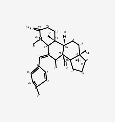 Cc1ccc(C=C2C(C)[C@@H]3[C@@H](CC[C@]4(C)CCC[C@@H]34)[C@@]3(C)CCC(=O)N(C)C23)cc1